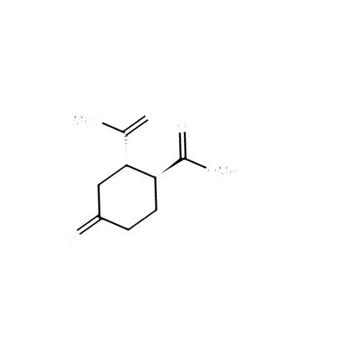 COC(=O)[C@H]1CCC(=O)C[C@@H]1C(=O)OC